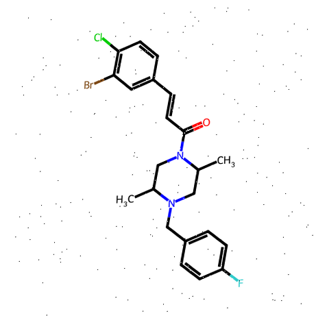 CC1CN(C(=O)/C=C/c2ccc(Cl)c(Br)c2)C(C)CN1Cc1ccc(F)cc1